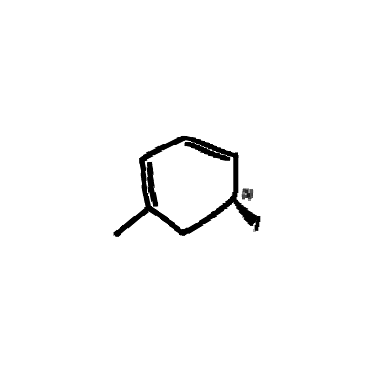 CC1=CC=C[C@@H](I)C1